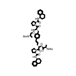 CN[C@@H](C)C(=O)N[C@@H](C/C=C/c1ccc(C[C@H](NOC[C@H](C)NC)C(=O)N2CCC[C@H]2C(=O)N[C@@H]2CCCc3ccccc32)cc1)C(=O)N1CCC[C@H]1C(=O)N[C@@H]1CCCc2ccccc21